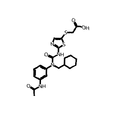 CC(=O)Nc1cccc(N(CC2CCCCC2)C(=O)Nc2ncc(SCC(=O)O)s2)c1